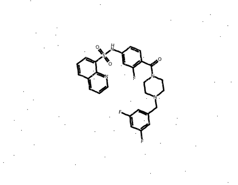 O=C(c1ccc(NS(=O)(=O)c2cccc3cccnc23)cc1F)N1CCN(Cc2cc(F)cc(F)c2)CC1